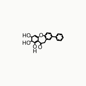 O=C1Cc2cc(-c3ccccc3)ccc2OC2=CC(O)C(O)C(O)=C12